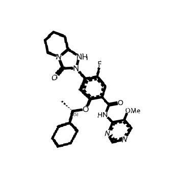 COc1cncnc1NC(=O)c1cc(F)c(N2NC3CCCCN3C2=O)cc1O[C@@H](C)C1CCCCC1